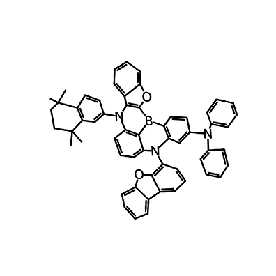 CC1(C)CCC(C)(C)c2cc(N3c4cccc5c4B(c4ccc(N(c6ccccc6)c6ccccc6)cc4N5c4cccc5c4oc4ccccc45)c4oc5ccccc5c43)ccc21